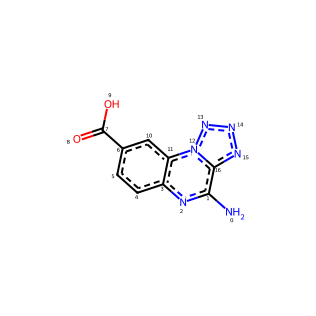 Nc1nc2ccc(C(=O)O)cc2n2nnnc12